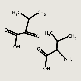 CC(C)C(=O)C(=O)O.CC(C)C(N)C(=O)O